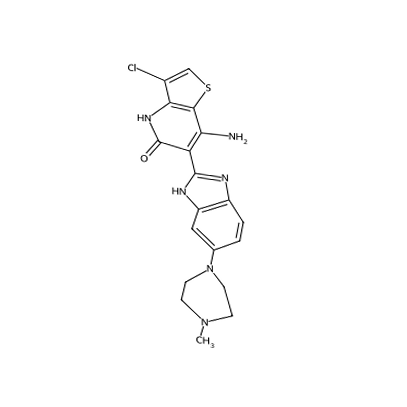 CN1CCN(c2ccc3nc(-c4c(N)c5scc(Cl)c5[nH]c4=O)[nH]c3c2)CC1